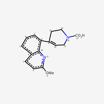 COc1ccc2cccc(C3=CCN(C(=O)O)CC3)c2n1